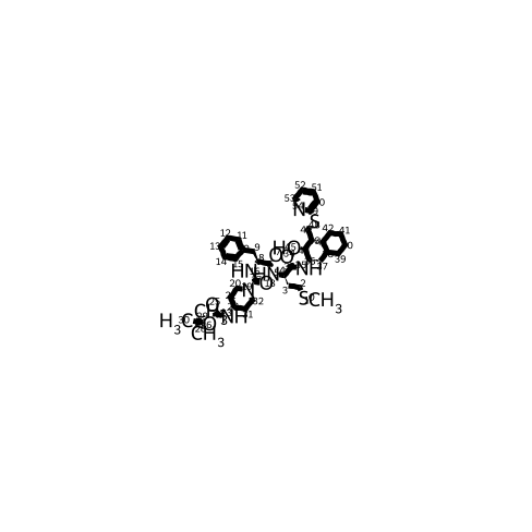 CSCC[C@H](NC(=O)[C@H](Cc1ccccc1)NC(=O)N1CCC(NC(=O)OC(C)(C)C)CC1)C(=O)N[C@@H](CC1CCCCC1)[C@@H](O)CCSc1ccccn1